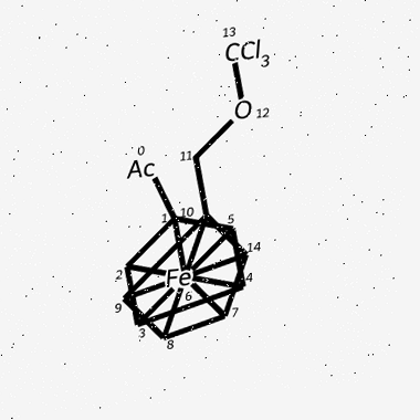 CC(=O)[C]12[CH]3[CH]4[CH]5[CH]1[Fe]45321678[CH]2[CH]1[CH]6[C]7(COC(Cl)(Cl)Cl)[CH]28